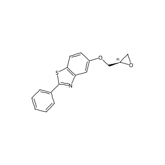 c1ccc(-c2nc3cc(OC[C@H]4CO4)ccc3s2)cc1